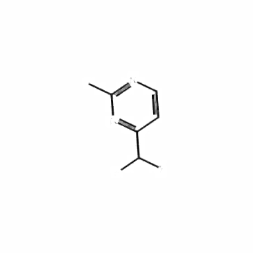 Cc1nccc(C(F)F)n1